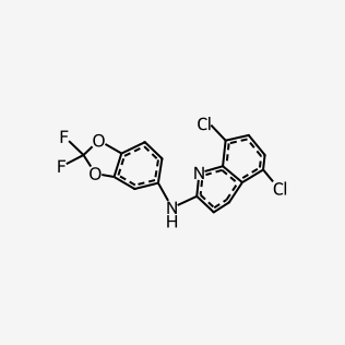 FC1(F)Oc2ccc(Nc3ccc4c(Cl)ccc(Cl)c4n3)cc2O1